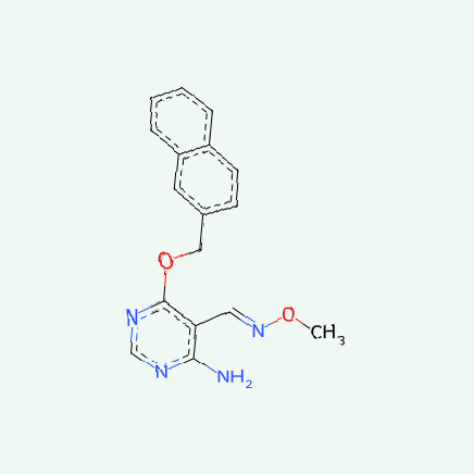 CON=Cc1c(N)ncnc1OCc1ccc2ccccc2c1